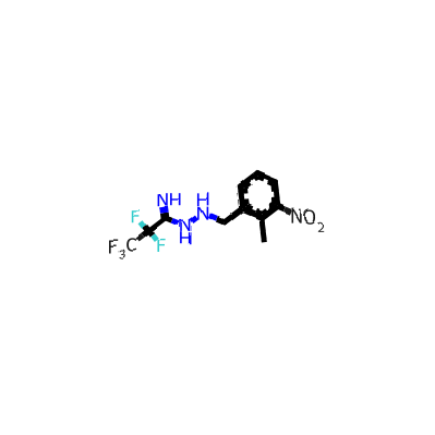 Cc1c(CNNC(=N)C(F)(F)C(F)(F)F)cccc1[N+](=O)[O-]